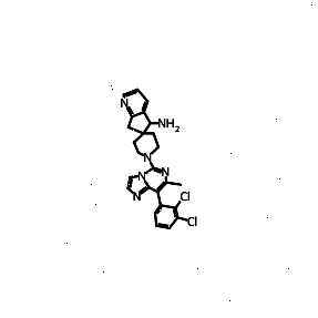 Cc1nc(N2CCC3(CC2)Cc2ncccc2C3N)n2ccnc2c1-c1cccc(Cl)c1Cl